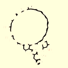 COC(=O)C(Cc1c[nH]cn1)NC(=O)C1[C@@H]2CC(O[C@@H]3OCC(O)[C@H](N)C3O)/C=C/C=C/C=C/C=C/C=C/C=C/C=C/[C@H](C)C(O)C[C@H](C)OC(=O)CC(O)CC(O)CCC(O)C(O)CC(O)CC(O)(C[C@@H]1O)O2